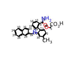 Cc1cc(OCC(=O)O)c2c3c(C(N)=O)cccc3n(Cc3ccc4ccccc4c3)c2c1